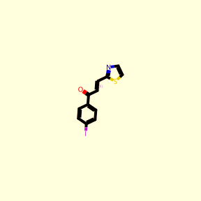 O=C(/C=C/c1nccs1)c1ccc(I)cc1